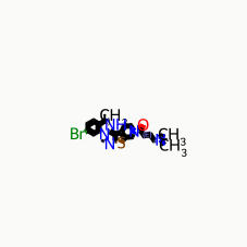 C[C@@H](Nc1ncnc2sc3c(c12)CCN(C(=O)/C=C/CN(C)C)C3)c1ccc(Br)cc1